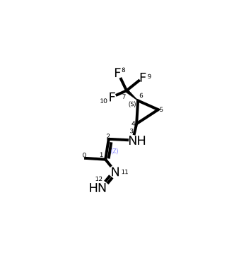 C/C(=C/NC1C[C@@H]1C(F)(F)F)N=N